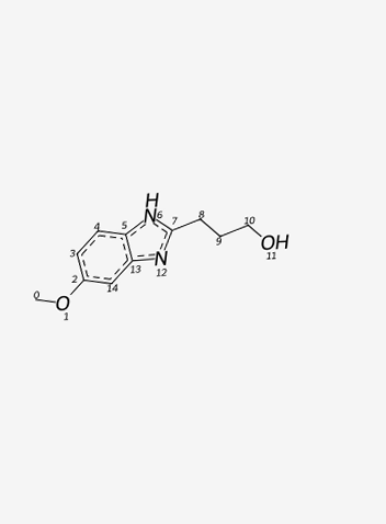 COc1ccc2[nH]c(CCCO)nc2c1